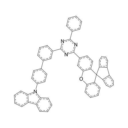 c1ccc(-c2nc(-c3cccc(-c4ccc(-n5c6ccccc6c6ccccc65)cc4)c3)nc(-c3ccc4c(c3)Oc3ccccc3C43c4ccccc4-c4ccccc43)n2)cc1